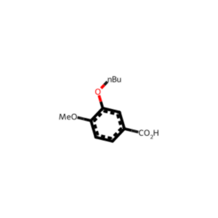 CCCCOc1cc(C(=O)O)ccc1OC